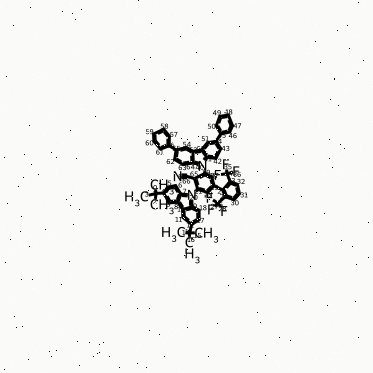 CC(C)(C)c1ccc2c(c1)c1cc(C(C)(C)C)ccc1n2-c1cc(-c2c(C(F)(F)F)cccc2C(F)(F)F)cc(-n2c3ccc(-c4ccccc4)cc3c3cc(-c4ccccc4)ccc32)c1C#N